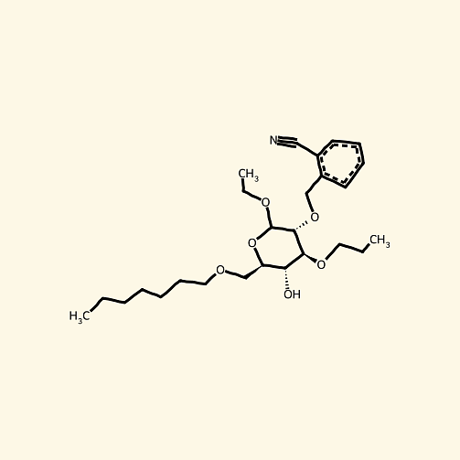 CCCCCCCOC[C@H]1OC(OCC)[C@H](OCc2ccccc2C#N)[C@@H](OCCC)[C@@H]1O